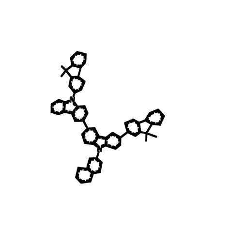 CC1(C)c2ccccc2-c2ccc(-c3ccc4c(c3)c3cc(-c5ccc6c(c5)c5ccccc5n6-c5ccc6c(c5)C(C)(C)c5ccccc5-6)ccc3n4-c3ccc4ccccc4c3)cc21